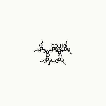 C=CCCOc1cc(COc2cc(COc3cc(OCc4cc(OCc5cc(OCCC=C)cc(OCCC=C)c5)cc(OCc5cc(OCCC=C)cc(OCCC=C)c5)c4)cc(C(=O)O)c3)cc(OCc3cc(OCCC=C)cc(OCCC=C)c3)c2)cc(OCCC=C)c1